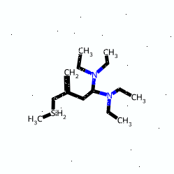 C=C(C[SiH2]C)CC(N(CC)CC)N(CC)CC